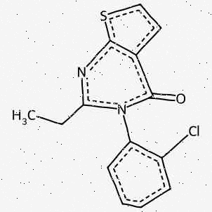 CCc1nc2sccc2c(=O)n1-c1ccccc1Cl